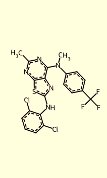 Cc1nc(N(C)c2ccc(C(F)(F)F)cc2)c2nc(Nc3c(Cl)cccc3Cl)sc2n1